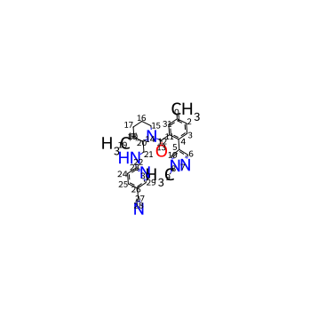 Cc1ccc(-c2cnn(C)c2)c(C(=O)N2CCC[C@@H](C)C2CNc2ccc(C#N)cn2)c1